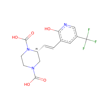 O=C(O)N1CCN(C(=O)O)[C@H](C=Cc2cc(C(F)(F)F)cnc2O)C1